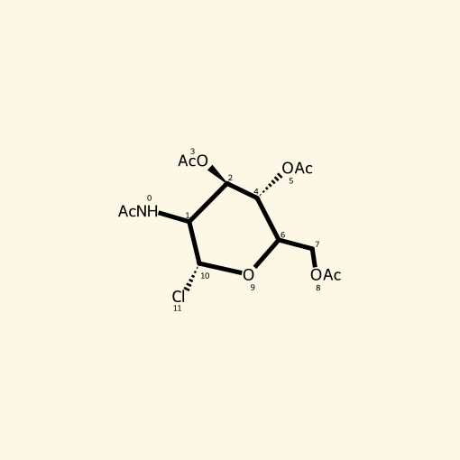 CC(=O)NC1[C@@H](OC(C)=O)[C@H](OC(C)=O)C(COC(C)=O)O[C@@H]1Cl